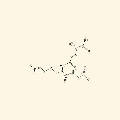 CC(C)=CCSC[C@H](NC(=O)CC[C@H](N)C(=O)O)C(=O)NCC(=O)O